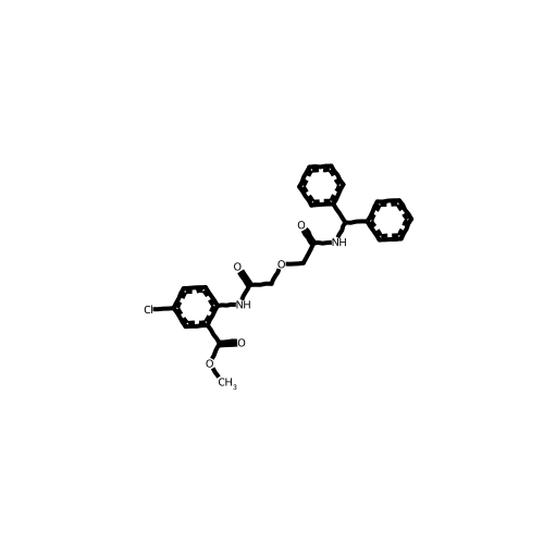 COC(=O)c1cc(Cl)ccc1NC(=O)COCC(=O)NC(c1ccccc1)c1ccccc1